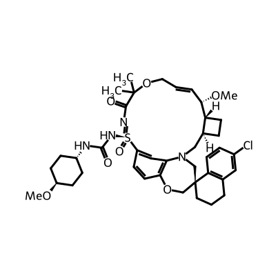 CO[C@H]1/C=C/COC(C)(C)C(=O)N=[S@](=O)(NC(=O)N[C@H]2CC[C@H](OC)CC2)c2ccc3c(c2)N(C[C@@H]2CC[C@H]21)C[C@@]1(CCCc2cc(Cl)ccc21)CO3